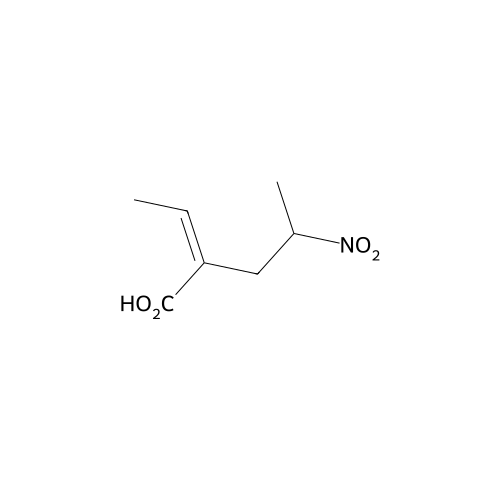 CC=C(CC(C)[N+](=O)[O-])C(=O)O